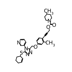 Cc1cc(OCc2nnc(SC3C=CCCC3)n2-c2cccnc2)ccc1C#CCOC(=O)N1CCC(C)CC1